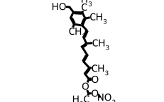 CC(/C=C/c1c(C)cc(CO)c(C)c1C)=C\C=C\C(C)=C\C(=O)OC(C)O[N+](=O)[O-]